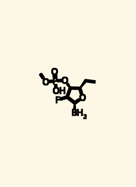 B[C@@H]1O[C@H](CC)[C@H](OP(=O)(O)OC)C1F